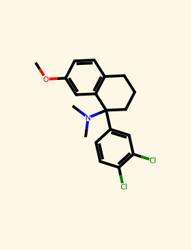 COc1ccc2c(c1)C(c1ccc(Cl)c(Cl)c1)(N(C)C)CCC2